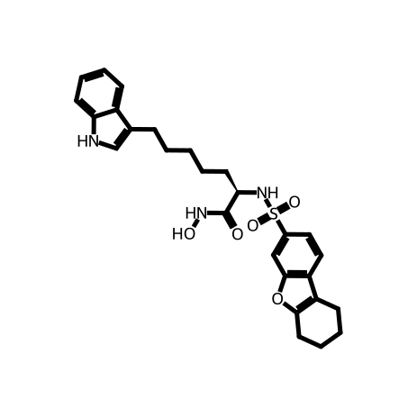 O=C(NO)[C@@H](CCCCCc1c[nH]c2ccccc12)NS(=O)(=O)c1ccc2c3c(oc2c1)CCCC3